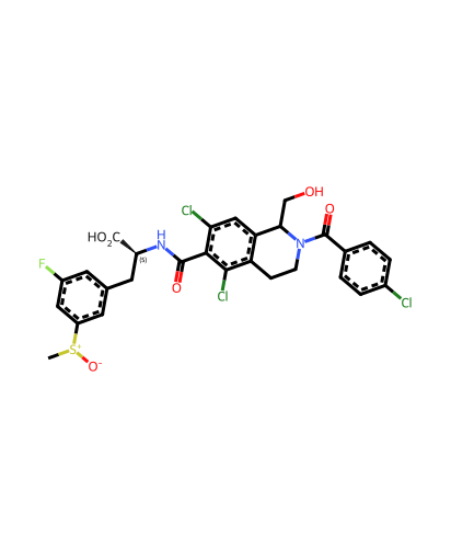 C[S+]([O-])c1cc(F)cc(C[C@H](NC(=O)c2c(Cl)cc3c(c2Cl)CCN(C(=O)c2ccc(Cl)cc2)C3CO)C(=O)O)c1